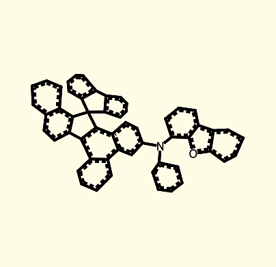 c1ccc(N(c2ccc3c4c(c5ccccc5c3c2)-c2ccc3ccccc3c2C42c3ccccc3-c3ccccc32)c2cccc3c2oc2ccccc23)cc1